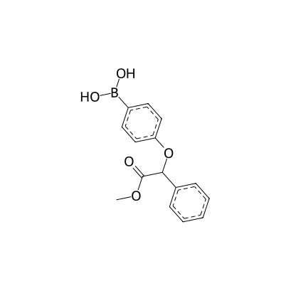 COC(=O)C(Oc1ccc(B(O)O)cc1)c1ccccc1